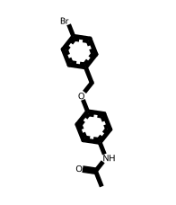 CC(=O)Nc1ccc(OCc2ccc(Br)cc2)cc1